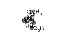 Cc1ccc(-c2ncc(CN3CCOC3=O)c(N3CCC(CNC(=O)O)C3)n2)cc1Cl